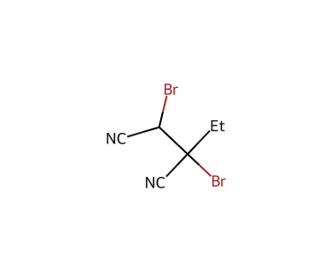 CCC(Br)(C#N)C(Br)C#N